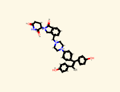 CC/C(=C(\c1ccc(O)cc1)c1ccc(N2CCN(Cc3cccc4c3CN(C3CCC(=O)NC3=O)C4=O)CC2)cc1)c1ccc(O)cc1